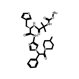 CC1CCN(C(=O)C(c2ccccc2)n2cnc(NC(=O)[C@@H](Cc3ccsc3)NC(=O)C(C)(C)NC(=O)OC(C)(C)C)c2)CC1